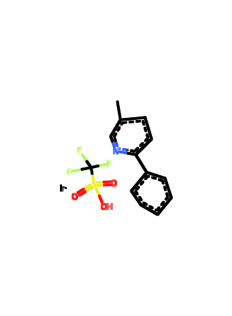 Cc1ccc(-c2ccccc2)nc1.O=S(=O)(O)C(F)(F)F.[Ir]